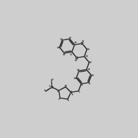 CN(C)C1CCN(Cc2ccc(CC3COc4ccccc4O3)cc2)C1